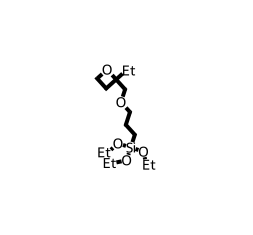 CCO[Si](CCCOCC1(CC)CCO1)(OCC)OCC